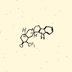 CC1C(=O)CC[C@H]2CN3CCc4c([nH]c5ccccc45)[C@@H]3CC12